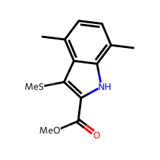 COC(=O)c1[nH]c2c(C)ccc(C)c2c1SC